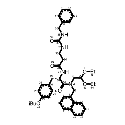 CCOC(CN(Cc1cccc2ccccc12)C(=O)[C@H](Cc1ccc(OCC(C)C)cc1)NC(=O)CCNC(=O)NCc1ccccc1)OCC